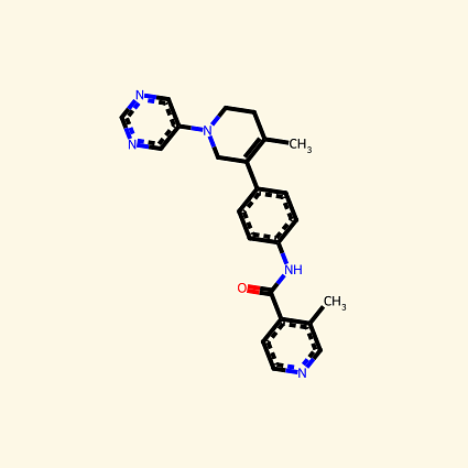 CC1=C(c2ccc(NC(=O)c3ccncc3C)cc2)CN(c2cncnc2)CC1